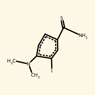 CN(C)c1ccc(C(N)=S)cc1I